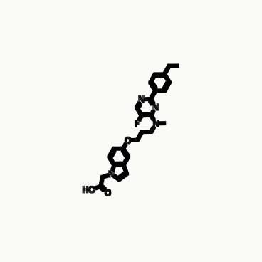 CCc1ccc(-c2ncc(F)c(N(C)CCCOc3ccc4c(ccn4CC(=O)O)c3)n2)cc1